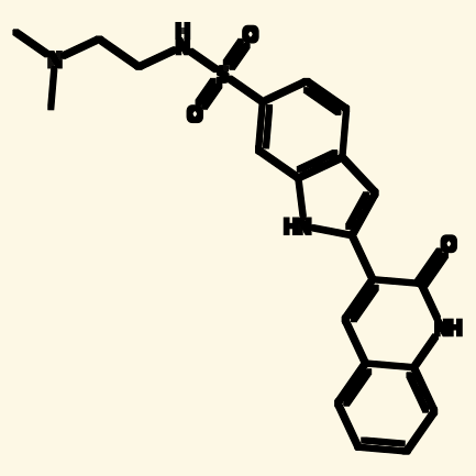 CN(C)CCNS(=O)(=O)c1ccc2cc(-c3cc4ccccc4[nH]c3=O)[nH]c2c1